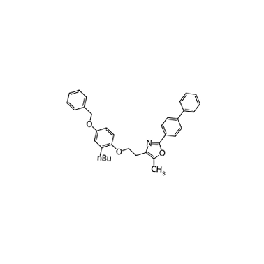 CCCCc1cc(OCc2ccccc2)ccc1OCCc1nc(-c2ccc(-c3ccccc3)cc2)oc1C